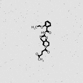 CCOc1ccccc1C(=O)NC1=NCC2=CN(C(=O)CCC(C)=O)CCC2=N1